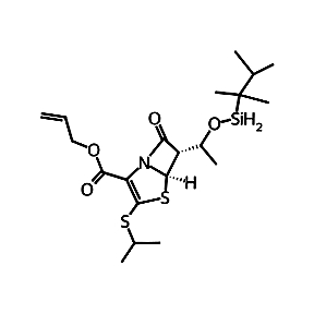 C=CCOC(=O)C1=C(SC(C)C)S[C@@H]2[C@@H](C(C)O[SiH2]C(C)(C)C(C)C)C(=O)N12